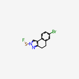 FSn1cc2c(n1)CCc1cc(Br)ccc1-2